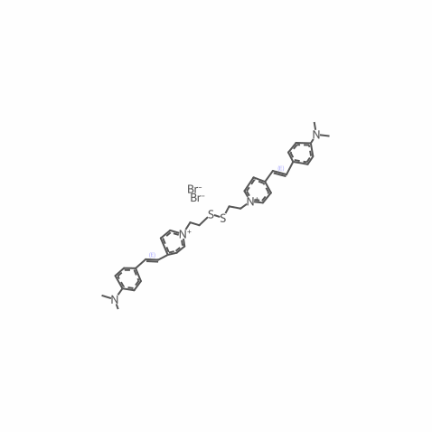 CN(C)c1ccc(/C=C/c2cc[n+](CCSSCC[n+]3ccc(/C=C/c4ccc(N(C)C)cc4)cc3)cc2)cc1.[Br-].[Br-]